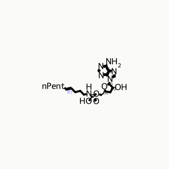 CCCCC/C=C/CCCNP(=O)(O)OC[C@@H]1C[C@@H](O)[C@H](n2cnc3c(N)ncnc32)O1